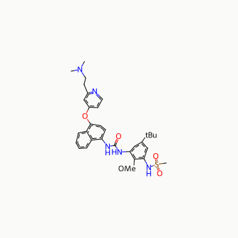 COc1c(NC(=O)Nc2ccc(Oc3ccnc(CCN(C)C)c3)c3ccccc23)cc(C(C)(C)C)cc1NS(C)(=O)=O